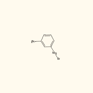 CC(C)c1ccc[c]([Mg][Br])c1